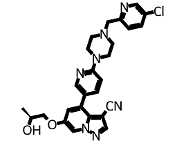 C[C@H](O)COc1cc(-c2ccc(N3CCN(Cc4ccc(Cl)cn4)CC3)nc2)c2c(C#N)cnn2c1